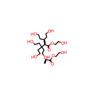 C=CC(=O)OCCO.O=C(OCCO)C(=C(CCO)CCO)C(CCO)(CCO)CCO